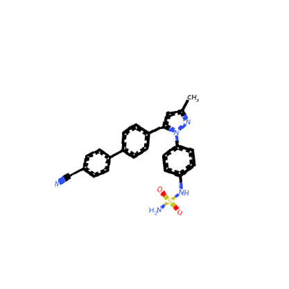 Cc1cc(-c2ccc(-c3ccc(C#N)cc3)cc2)n(-c2ccc(NS(N)(=O)=O)cc2)n1